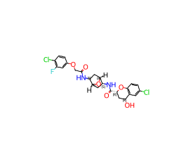 O=C(COc1ccc(Cl)c(F)c1)N[C@H]1C[C@H]2O[C@@H]1C[C@@H]2NC(=O)[C@H]1C[C@@H](O)c2cc(Cl)ccc2O1